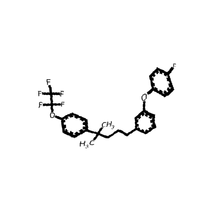 CC(C)(CCCc1cccc(Oc2ccc(F)cc2)c1)c1ccc(OC(F)(F)C(F)(F)F)cc1